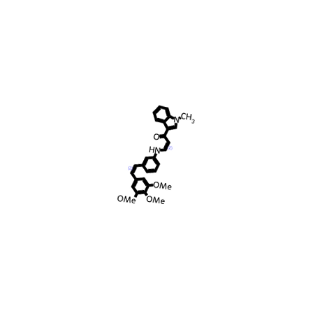 COc1cc(/C=C\c2cccc(N/C=C\C(=O)c3cn(C)c4ccccc34)c2)cc(OC)c1OC